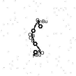 CCCCC(=O)N(CC#Cc1ccc(C(=O)OC(=O)COc2ccc(C#CCN(C(=O)CCCC)c3cccc(F)c3)cc2)cc1)c1ccccc1